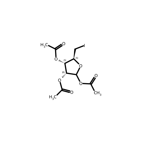 CC(=O)OC1O[C@H](CI)[C@@H](OC(C)=O)[C@H]1OC(C)=O